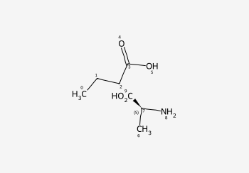 CCCC(=O)O.C[C@H](N)C(=O)O